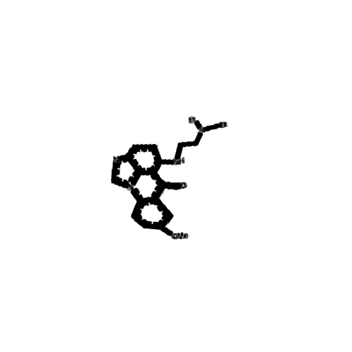 CCN(CC)CCNc1ccc2ncn3c4ccc(OC)cc4c(=O)c1c23